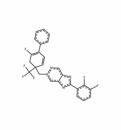 FC1=C(c2ccccc2)C=CC(Cn2cc3nc(-c4cccc(F)c4F)nc-3cn2)(C(F)(F)F)C1